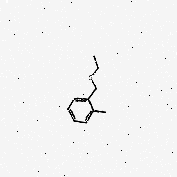 [CH2]c1ccccc1CSCC